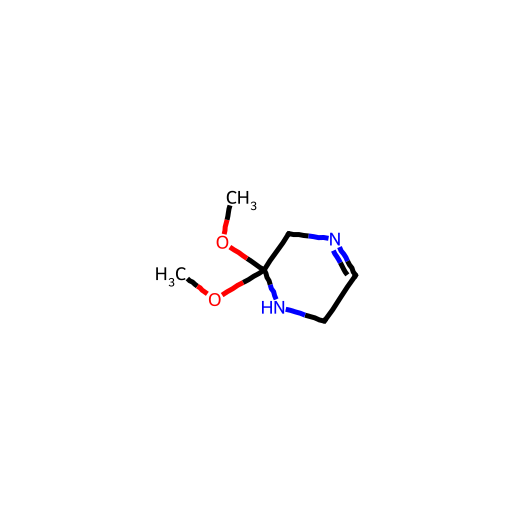 COC1(OC)CN=CCN1